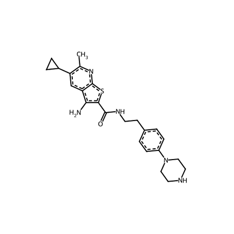 Cc1nc2sc(C(=O)NCCc3ccc(N4CCNCC4)cc3)c(N)c2cc1C1CC1